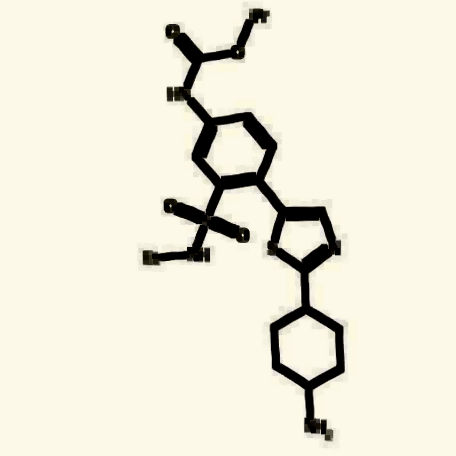 CCNS(=O)(=O)c1cc(NC(=O)OC(C)C)ccc1-c1cnc(C2CCC(N)CC2)s1